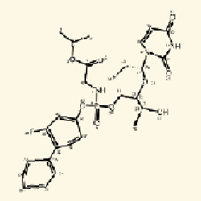 CC(C)OC(=O)CNP(=O)(OC[C@@H](O[C@H](CF)n1ccc(=O)[nH]c1=O)[C@H](C)O)Oc1ccc(-c2ccccc2)c(F)c1